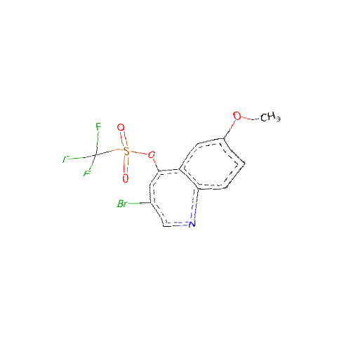 COc1ccc2ncc(Br)c(OS(=O)(=O)C(F)(F)F)c2c1